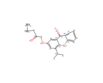 BBCC(=O)COc1cc(C(C)C)c2sc3ccccc3c(=O)c2c1